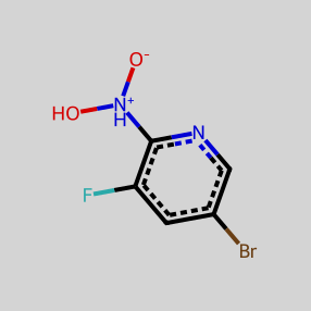 [O-][NH+](O)c1ncc(Br)cc1F